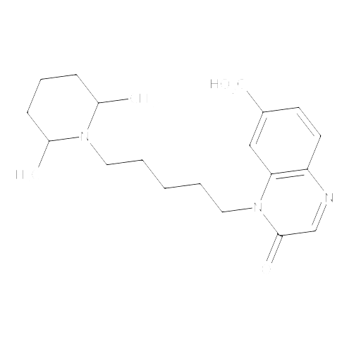 CC1CCCC(C)N1CCCCCn1c(=O)cnc2ccc(C(=O)O)cc21